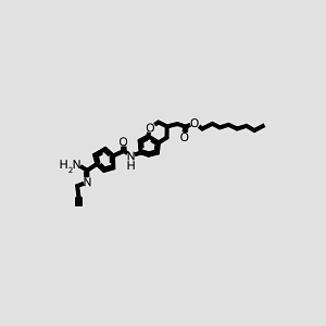 C#CCN=C(N)c1ccc(C(=O)Nc2ccc3c(c2)OCC(CC(=O)OCCCCCCCC)C3)cc1